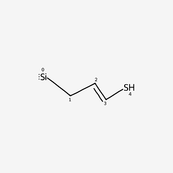 [Si]CC=CS